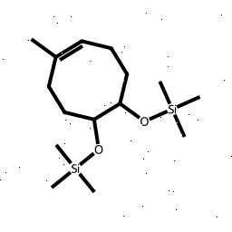 CC1=CCCC(O[Si](C)(C)C)C(O[Si](C)(C)C)CC1